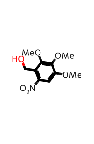 COc1cc([N+](=O)[O-])c(CO)c(OC)c1OC